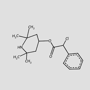 CC1(C)CC(OC(=O)C(Cl)c2ccccc2)CC(C)(C)N1